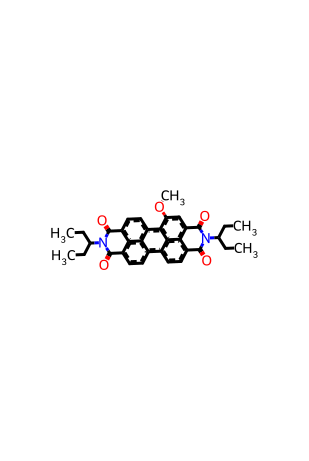 CCC(CC)N1C(=O)c2ccc3c4ccc5c6c(cc(OC)c(c7ccc(c2c37)C1=O)c64)C(=O)N(C(CC)CC)C5=O